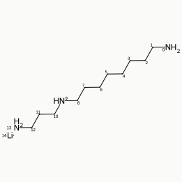 NCCCCCCCCNCCCN.[Li]